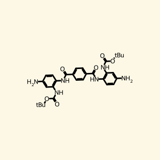 CC(C)(C)OC(=O)Nc1cc(N)ccc1NC(=O)c1ccc(C(=O)Nc2ccc(N)cc2NC(=O)OC(C)(C)C)cc1